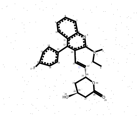 CCN(C)c1nc2ccccc2c(-c2ccc(F)cc2)c1/C=C/[C@H]1C[C@H](O)CC(=O)O1